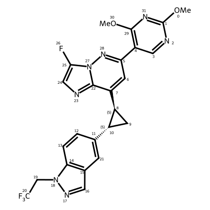 COc1ncc(-c2cc([C@H]3C[C@@H]3c3ccc4c(cnn4CC(F)(F)F)c3)c3ncc(F)n3n2)c(OC)n1